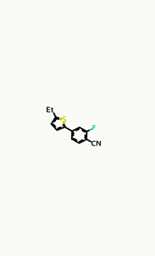 CCc1ccc(-c2ccc(C#N)c(F)c2)s1